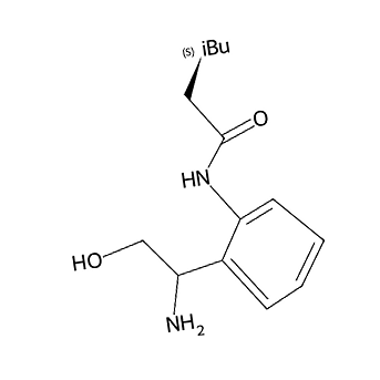 CC[C@H](C)CC(=O)Nc1ccccc1C(N)CO